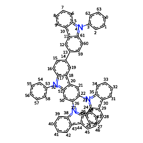 c1ccc(-n2c3ccccc3c3cc(-c4ccc5c(c4)c4cc(-n6c7ccccc7c7ccccc76)c(-n6c7ccccc7c7ccccc76)cc4n5-c4ccccc4)ccc32)cc1